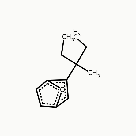 CCC(C)(CC)c1cc2ccc1o2